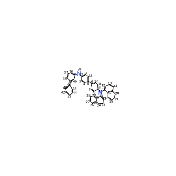 CN(c1ccc(-c2ccc(N(c3cccc4c3C=CCC4)c3cccc4ccccc34)cc2)cc1)c1cccc(-c2ccccc2)c1